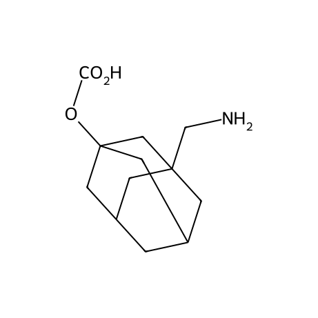 NCC12CC3CC(C1)CC(OC(=O)O)(C3)C2